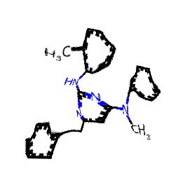 Cc1ccccc1Nc1nc(Cc2ccccc2)cc(N(C)c2ccccc2)n1